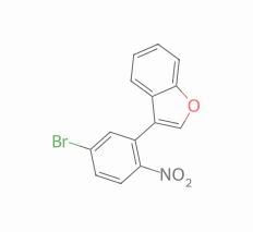 O=[N+]([O-])c1ccc(Br)cc1-c1coc2ccccc12